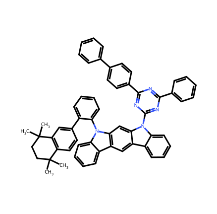 CC1(C)CCC(C)(C)c2cc(-c3ccccc3-n3c4ccccc4c4cc5c6ccccc6n(-c6nc(-c7ccccc7)nc(-c7ccc(-c8ccccc8)cc7)n6)c5cc43)ccc21